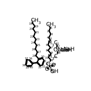 CCCCCCCCCCCCOS(=O)(=O)O.CCCCCCCCCCCCc1ccccc1-c1ccccc1.CCOCC.[NaH].[NaH].[NaH]